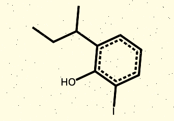 CCC(C)c1cccc(I)c1O